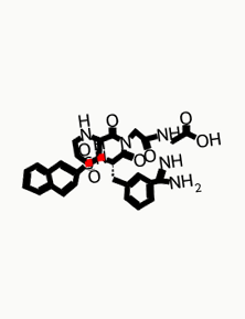 N=C(N)c1cccc(C[C@H](NS(=O)(=O)c2ccc3ccccc3c2)C(=O)N(CC(=O)NCC(=O)O)C(=O)C2CCCCN2)c1